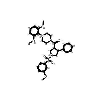 COc1cccc(S(=O)(=O)N2CC(C(=O)N3CCN(c4c(OC)cccc4OC)CC3)C(c3ccccc3)C2)c1